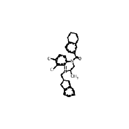 CC(CN(C(=O)c1ccc2c(c1)CCCC2)c1ccc(Cl)c(Cl)c1)NCC1Cc2ccccc2C1